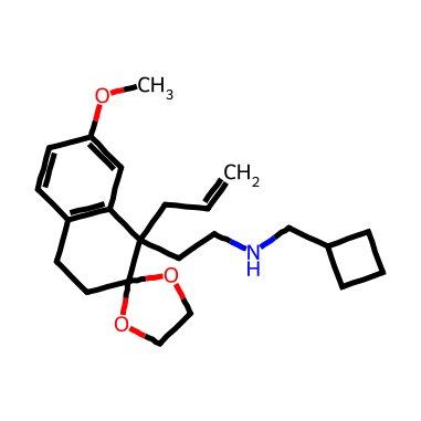 C=CCC1(CCNCC2CCC2)c2cc(OC)ccc2CCC12OCCO2